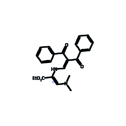 CCOC(=O)/C(=C/N(C)C)NC=C(C(=O)c1ccccc1)C(=O)c1ccccc1